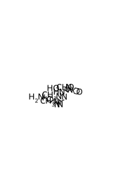 CC(C)(N)c1ccc(-n2nnc3cnc(Nc4cnn(C5CCOCC5)c4)nc32)cc1.O=CO